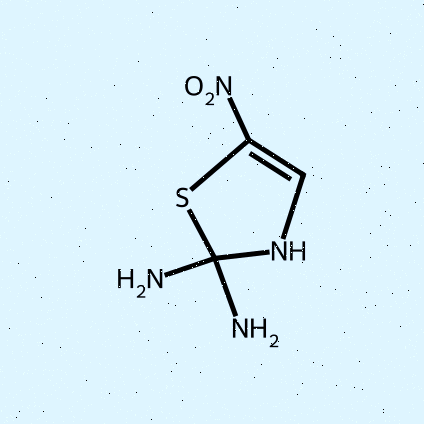 NC1(N)NC=C([N+](=O)[O-])S1